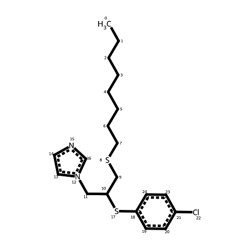 CCCCCCCCSCC(Cn1ccnc1)Sc1ccc(Cl)cc1